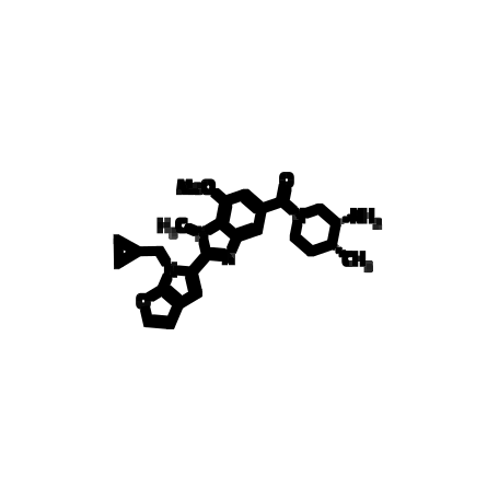 COc1cc(C(=O)N2CC[C@@H](C)[C@@H](N)C2)cc2nc(-c3cc4ccoc4n3CC3CC3)n(C)c12